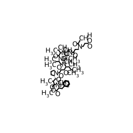 C#CC(=O)N(CCC(=O)O)CCC(=O)NC(C)C(=O)N(C)C(C(=O)NC(C(=O)N(C)C(C(C)CC)C(CC(=O)N1CCC[C@H]1C(OC)C(C)C(=O)NC(Cc1ccccc1)C(=O)OC)OC)C(C)C)C(C)C